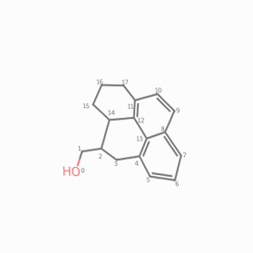 OCC1Cc2cccc3ccc4c(c23)C1CCC4